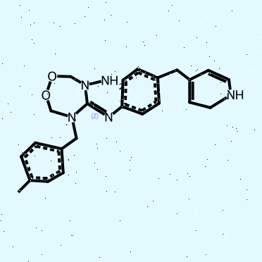 Cc1ccc(CN2COOCN(N)/C2=N\c2ccc(CC3=CCNC=C3)cc2)cc1